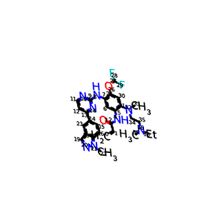 C=CC(=O)Nc1cc(Nc2nccc(-c3ccc4c(cnn4C)c3)n2)c(OC(F)F)cc1N(C)CCN(C)CC